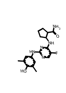 Cc1cc(Nc2ncc(F)c(NC3CCCC3C(N)=O)n2)cc(C)c1O